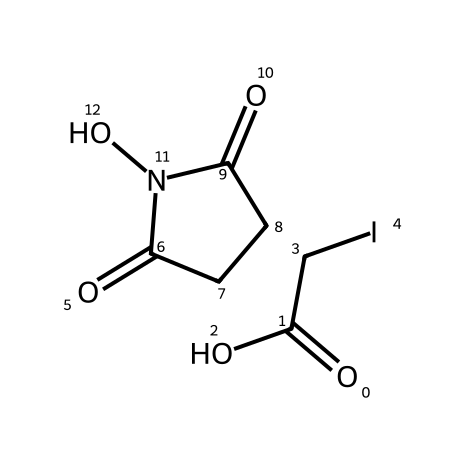 O=C(O)CI.O=C1CCC(=O)N1O